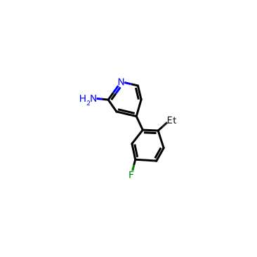 CCc1ccc(F)cc1-c1ccnc(N)c1